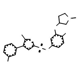 CN1CCC(Oc2cc(NS(=O)(=O)c3cc(-c4cccc(C(F)(F)F)c4)c(Cl)s3)ccc2C(F)(F)F)C1